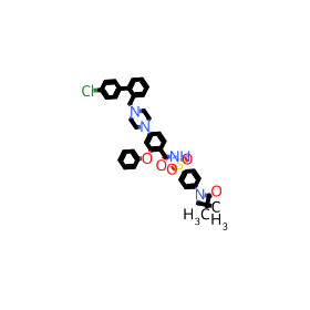 CC1(C)CN(c2ccc(S(=O)(=O)NC(=O)c3ccc(N4CCN(Cc5ccccc5-c5ccc(Cl)cc5)CC4)cc3Oc3ccccc3)cc2)C1=O